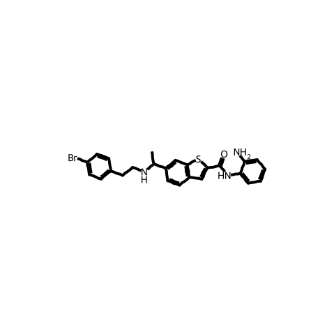 CC(NCCc1ccc(Br)cc1)c1ccc2cc(C(=O)Nc3ccccc3N)sc2c1